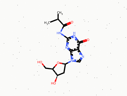 CC(C)C(=O)Nc1nc2c(ncn2C2C[C@@H](O)C(CO)O2)c(=O)[nH]1